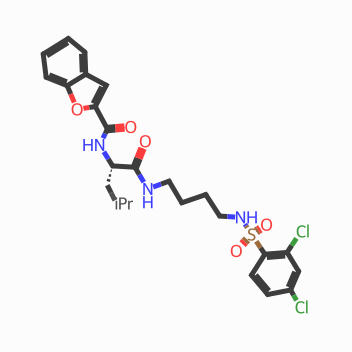 CC(C)C[C@H](NC(=O)c1cc2ccccc2o1)C(=O)NCCCCNS(=O)(=O)c1ccc(Cl)cc1Cl